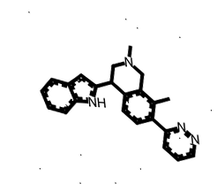 Cc1c(-c2cccnn2)ccc2c1CN(C)CC2c1cc2ccccc2[nH]1